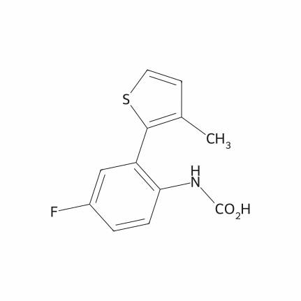 Cc1ccsc1-c1cc(F)ccc1NC(=O)O